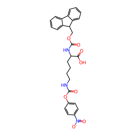 O=C(NC(CCCCNC(=O)Oc1ccc([N+](=O)[O-])cc1)C(=O)O)OCC1c2ccccc2-c2ccccc21